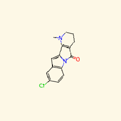 CN1CCCC2=C1c1cc3cc(Cl)ccc3n1C2=O